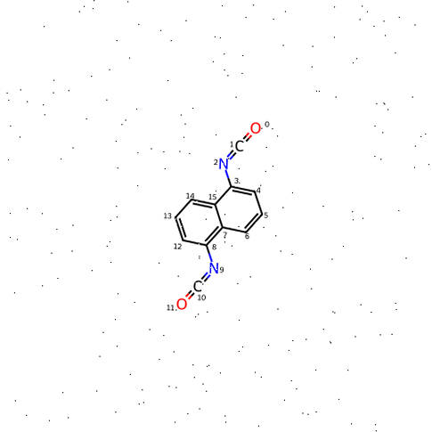 O=C=Nc1cccc2c(N=C=O)cccc12